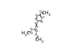 C=CCC=C(C#Cc1ccc(CC)cc1)CC=C